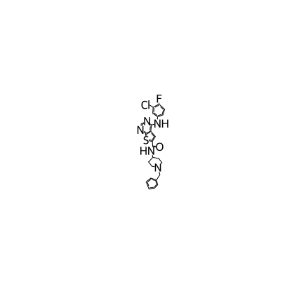 O=C(NC1CCN(Cc2ccccc2)CC1)c1cc2c(Nc3ccc(F)c(Cl)c3)ncnc2s1